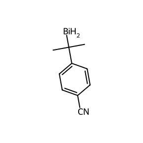 C[C](C)([BiH2])c1ccc(C#N)cc1